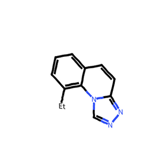 CCc1cccc2ccc3nncn3c12